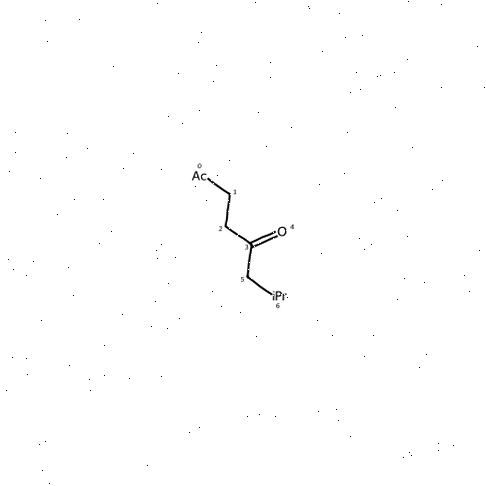 CC(=O)CCC(=O)CC(C)C